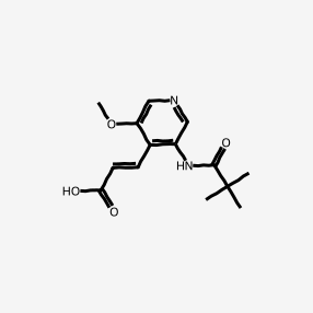 COc1cncc(NC(=O)C(C)(C)C)c1/C=C/C(=O)O